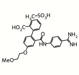 COCCOc1ccc(-c2ccccc2C(=O)O)c(C(=O)Nc2ccc(C(=N)N)cc2)c1.CS(=O)(=O)O